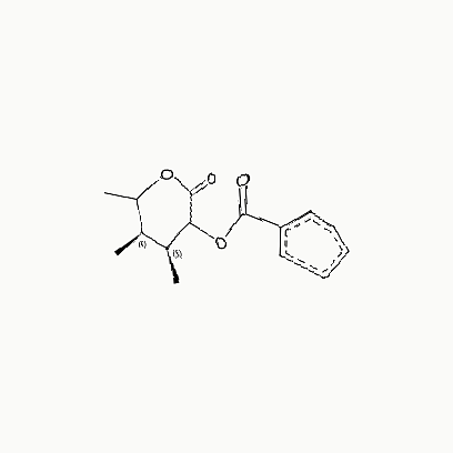 CC1OC(=O)C(OC(=O)c2ccccc2)[C@@H](C)[C@H]1C